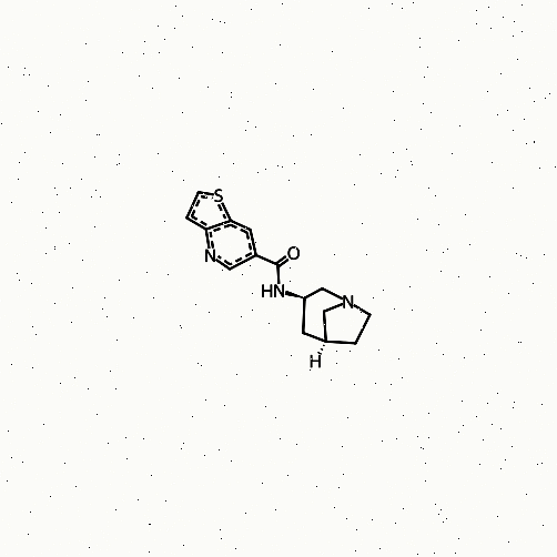 O=C(N[C@@H]1C[C@@H]2CCN(C2)C1)c1cnc2ccsc2c1